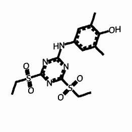 CCS(=O)(=O)c1nc(Nc2cc(C)c(O)c(C)c2)nc(S(=O)(=O)CC)n1